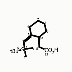 CC(C)(C)[Si](C)(C)/C=C1/CCCCC1CC(=O)O